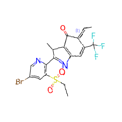 C/C=C1/C(=O)C2=C(C=C1C(F)(F)F)N=C(c1ncc(Br)cc1S(=O)(=O)CC)C2C